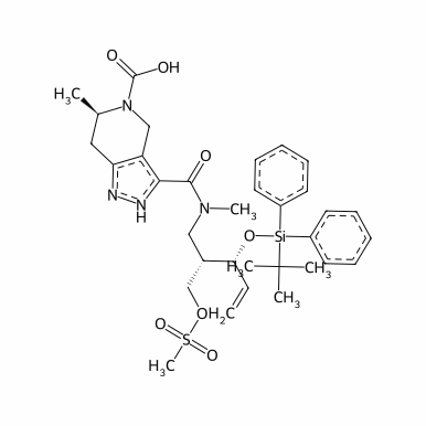 C=C[C@@H](O[Si](c1ccccc1)(c1ccccc1)C(C)(C)C)[C@H](COS(C)(=O)=O)CN(C)C(=O)c1[nH]nc2c1CN(C(=O)O)[C@H](C)C2